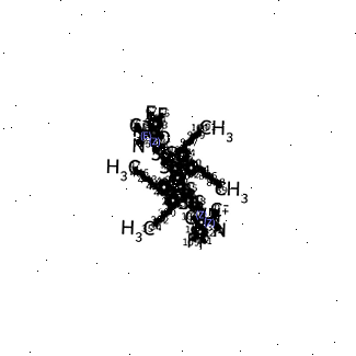 [C-]#[N+]/C(C#N)=C1\C(=C\c2cc3sc4c5c(sc4c3s2)-c2cc3c(cc2C5(c2ccc(CCCCCC)cc2)c2ccc(CCCCCC)cc2)-c2sc4c(sc5cc(/C=C6\C(=O)c7cc(F)c(F)cc7\C6=C(\C#N)[N+]#[C-])sc54)c2C3(c2ccc(CCCCCC)cc2)c2ccc(CCCCCC)cc2)C(=O)c2cc(F)c(F)cc21